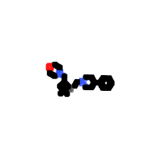 CC1(C)CC(CN2CCOCC2)[C@@H]1CCN1CCC(c2ccccc2)CC1